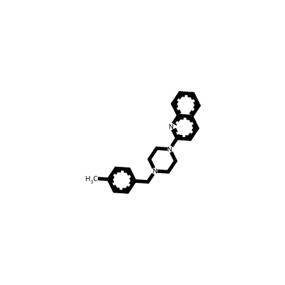 Cc1ccc(CN2CCN(c3ccc4ccccc4n3)CC2)cc1